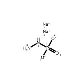 NNP(=O)([O-])[O-].[Na+].[Na+]